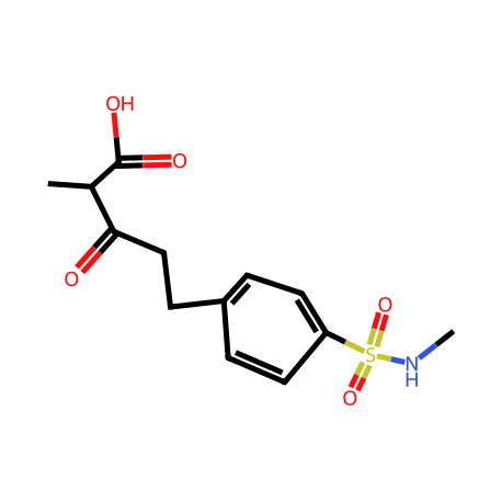 CNS(=O)(=O)c1ccc(CCC(=O)C(C)C(=O)O)cc1